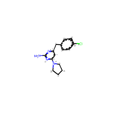 Nc1nc(Cc2ccc(Cl)cc2)cc(N2CCCC2)n1